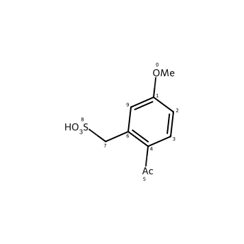 COc1ccc(C(C)=O)c(CS(=O)(=O)O)c1